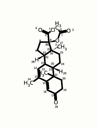 CC(=O)O[C@]1(C(=O)Cl)CC[C@H]2C3C=C(C)C4=CC(=O)CCC4(C)[C@H]3CC[C@@]21C